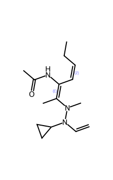 C=CN(C1CC1)N(C)/C(C)=C(\C=C/CC)NC(C)=O